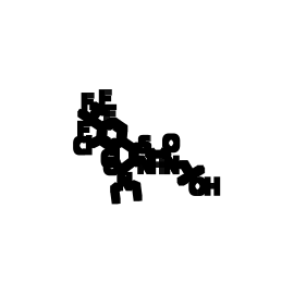 CCN(CC)C(=O)c1nc(C(=O)NCC(C)(C)O)sc1-c1ccc(C(C)(F)C(F)(F)F)c(Cl)c1Cl